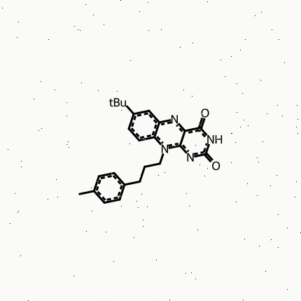 Cc1ccc(CCCn2c3nc(=O)[nH]c(=O)c-3nc3cc(C(C)(C)C)ccc32)cc1